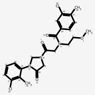 COCCN(CC(=O)N1CC(=O)N(c2cccc(Cl)c2C)C1)C(=O)c1ccc(C)c(Cl)c1